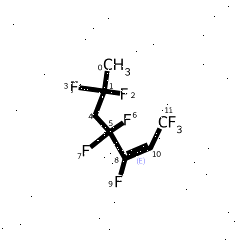 CC(F)(F)CC(F)(F)/C(F)=C\C(F)(F)F